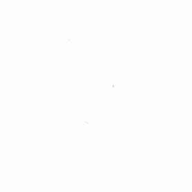 CC(N[C@@H](c1ccc(Cl)cc1F)C(C)(C)O)C(Cc1ccc(Cl)cc1)c1cccc(C#N)c1